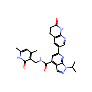 Cc1cc(C)c(CNC(=O)c2cc(-c3cnc4c(c3)CCC(=O)N4)nc3c2cnn3C(C)C)c(=O)[nH]1